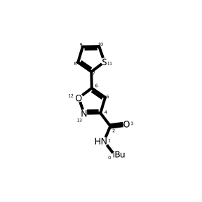 CCC(C)NC(=O)c1cc(-c2cccs2)on1